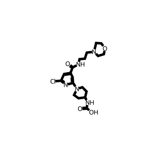 O=C(O)NC1CCN(c2cc(C(=O)NCCCN3CCOCC3)cc(Cl)n2)CC1